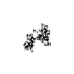 Nc1nc2c(ncn2[C@@H]2O[C@H](CO)[C@H](F)[C@H]2OP(=O)(O)OC[C@H]2O[C@@H](n3nnc4c(N)ncnc43)[C@@H](F)[C@@H]2O)c(=O)[nH]1